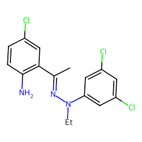 CCN(/N=C(\C)c1cc(Cl)ccc1N)c1cc(Cl)cc(Cl)c1